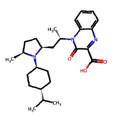 CC(C)[C@H]1CC[C@H](N2[C@H](C[C@H](C)n3c(=O)c(C(=O)O)nc4ccccc43)CC[C@@H]2C)CC1